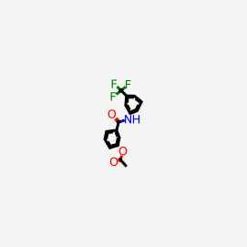 CC(=O)Oc1cccc(C(=O)Nc2cccc(C(F)(F)F)c2)c1